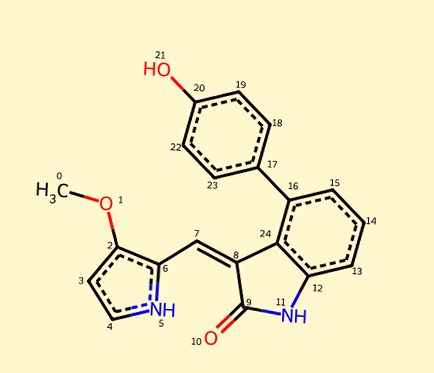 COc1cc[nH]c1/C=C1\C(=O)Nc2cccc(-c3ccc(O)cc3)c21